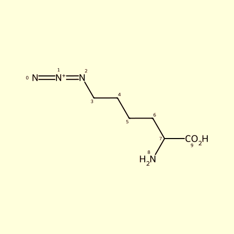 [N-]=[N+]=NCCCCC(N)C(=O)O